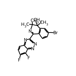 CC1(C)N=C(c2nnc3c(F)c(F)ccc3n2)c2ccc(Br)cc2C1(C)C